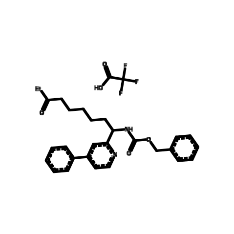 CCC(=O)CCCCCC(NC(=O)OCc1ccccc1)c1cc(-c2ccccc2)ccn1.O=C(O)C(F)(F)F